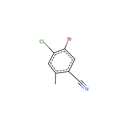 Cc1cc(Cl)c(Br)cc1C#N